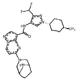 C[C@H]1CC[C@H](n2cc(NC(=O)c3cnn4ccc(N5CC6CCC(C5)N6)nc34)c(C(F)F)n2)CC1